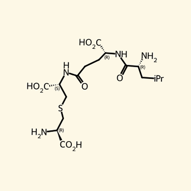 CC(C)C[C@@H](N)C(=O)N[C@H](CCC(=O)N[C@H](CSC[C@H](N)C(=O)O)C(=O)O)C(=O)O